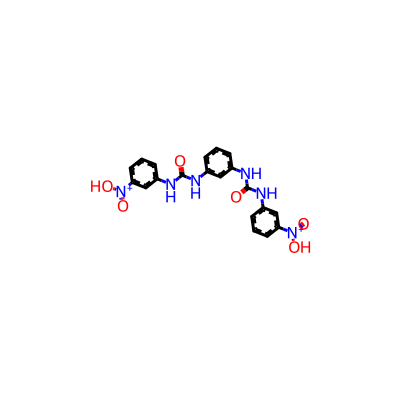 O=C(Nc1cccc(NC(=O)Nc2cccc([N+](=O)O)c2)c1)Nc1cccc([N+](=O)O)c1